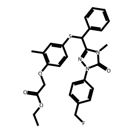 CCOC(=O)COc1ccc(SC(c2ccccc2)c2nn(-c3ccc(CF)cc3)c(=O)n2C)cc1C